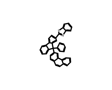 c1ccc(C2(c3ccc4ccc5ccccc5c4c3)c3ccccc3-c3ccc(-c4nc5ccccc5s4)cc32)cc1